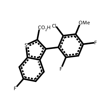 COc1c(F)cc(F)c(-c2c(C(=O)O)sc3cc(F)ccc23)c1Cl